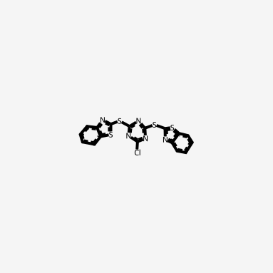 Clc1nc(Sc2nc3ccccc3s2)nc(Sc2nc3ccccc3s2)n1